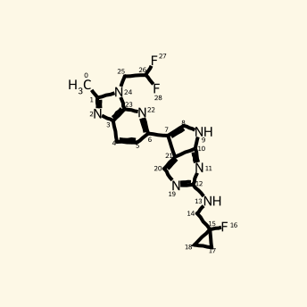 Cc1nc2ccc(-c3c[nH]c4nc(NCC5(F)CC5)ncc34)nc2n1CC(F)F